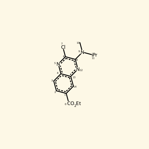 CCOC(=O)c1ccc2nc(Cl)c(N(C)C(C)C)nc2c1